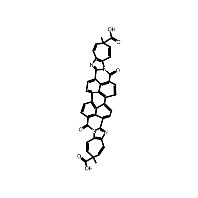 CC1(C(=O)O)C=Cc2nc3c4ccc5c6ccc7c(=O)n8c9c(nc8c8ccc(c%10ccc(c(=O)n3c2C=C1)c4c%105)c6c78)C=CC(C)(C(=O)O)C=C9